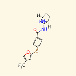 O=C(N[C@@H]1C[C@H]2CC[C@@H]1N2)c1ccc(Sc2cc(C(F)(F)F)co2)cc1